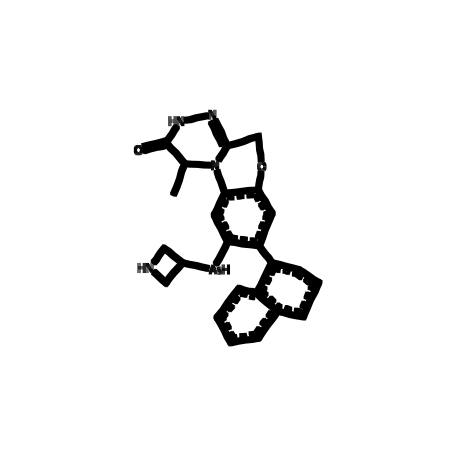 CC1C(=O)NN=C2COc3cc(-c4cccc5ccccc45)c([AsH]C4CNC4)cc3N21